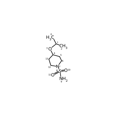 CC(C)OC1CCN(S(N)(=O)=O)CC1